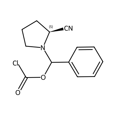 N#C[C@@H]1CCCN1C(OC(=O)Cl)c1ccccc1